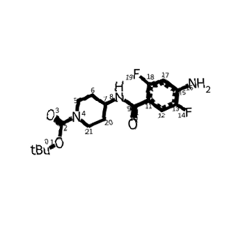 CC(C)(C)OC(=O)N1CCC(NC(=O)c2cc(F)c(N)cc2F)CC1